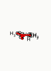 CCOC(=O)CCN1CC(=O)N(c2ccccc2)c2ccc(CCCCCNC(=O)OC(C)(C)C)cc2C1=O